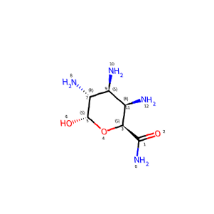 NC(=O)[C@H]1O[C@H](O)[C@H](N)[C@@H](N)[C@H]1N